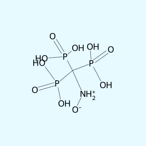 O=P(O)(O)C([NH2+][O-])(P(=O)(O)O)P(=O)(O)O